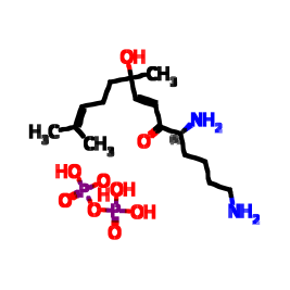 CC(C)=CCCC(C)(O)C=CC(=O)[C@@H](N)CCCCN.O=P(O)(O)OP(=O)(O)O